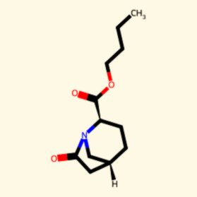 CCCCOC(=O)[C@H]1CC[C@@H]2CC(=O)N1C2